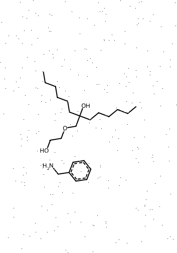 CCCCCCC(O)(CCCCCC)COCCO.NCc1ccccc1